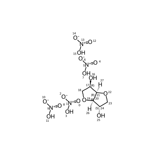 O=[N+]([O-])O.O=[N+]([O-])O.O=[N+]([O-])O.O=[N+]([O-])O.O[C@@H]1CO[C@H]2[C@@H]1OC[C@@H]2O